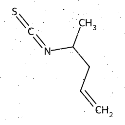 C=CCC(C)N=C=S